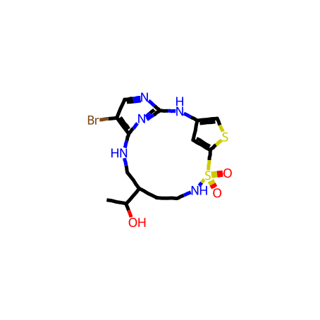 CC(O)C1CCNS(=O)(=O)c2cc(cs2)Nc2ncc(Br)c(n2)NC1